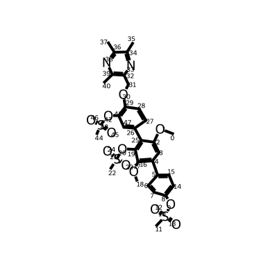 COc1cc(-c2ccc(OS(C)(=O)=O)cc2)c(OC)c(OS(C)(=O)=O)c1-c1ccc(OCc2nc(C)c(C)nc2C)c(OS(C)(=O)=O)c1